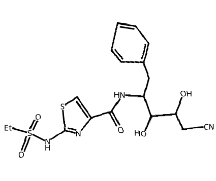 CCS(=O)(=O)Nc1nc(C(=O)NC(Cc2ccccc2)C(O)C(O)CC#N)cs1